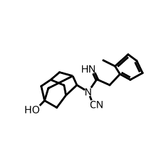 Cc1ccccc1CC(=N)N(C#N)C1C2CC3CC1CC(O)(C3)C2